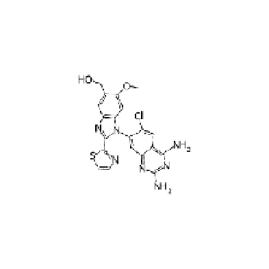 COc1cc2c(cc1CO)nc(-c1nccs1)n2-c1cc2nc(N)nc(N)c2cc1Cl